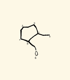 CC1CCCC1[O]